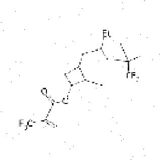 C=C(C(=O)OC1CC(CC(CC)CC(C)(C)C(F)(F)F)C1C)C(F)(F)F